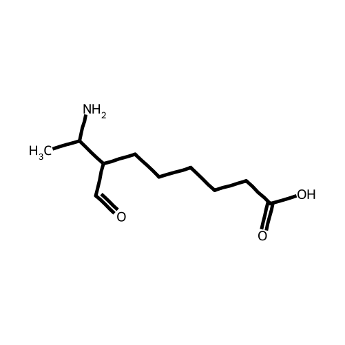 CC(N)C(C=O)CCCCCC(=O)O